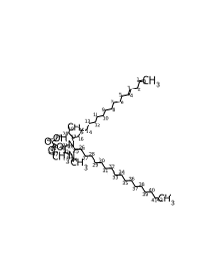 CCCCCCCCCCCCCCCCCC(CC)N1CCN(C)C1CCCCCCCCCCCCCCCCC.COS(=O)(=O)O